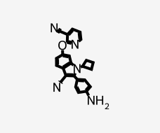 N#Cc1cccnc1Oc1ccc2c(C#N)c(-c3ccc(N)cc3)n(C3CCC3)c2c1